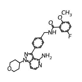 COc1ccc(F)cc1C(=O)NCc1ccc(-c2nn(C3CCOCC3)c3ccnc(N)c23)cc1